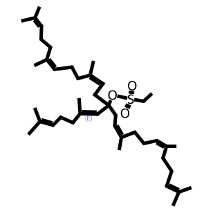 CCS(=O)(=O)OC(/C=C(\C)CCC=C(C)C)(CC=C(C)CCC=C(C)CCC=C(C)C)CC=C(C)CCC=C(C)CCC=C(C)C